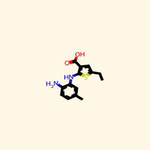 CCc1cc(C(=O)O)c(Nc2cc(C)ccc2N)s1